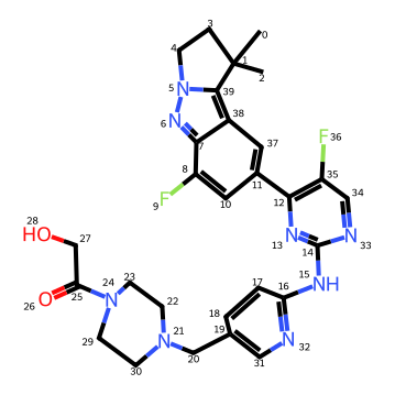 CC1(C)CCn2nc3c(F)cc(-c4nc(Nc5ccc(CN6CCN(C(=O)CO)CC6)cn5)ncc4F)cc3c21